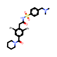 CC(C)c1cc(C(=O)N2CCCCC2)cc(C(C)C)c1CC(=O)NS(=O)(=O)c1ccc(CN(C)C)cc1